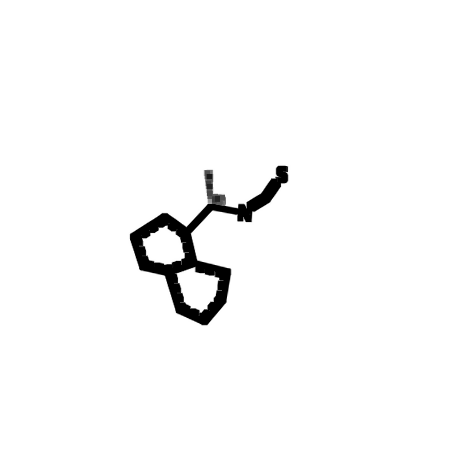 C[C@H](N=C=S)c1cccc2ccccc12